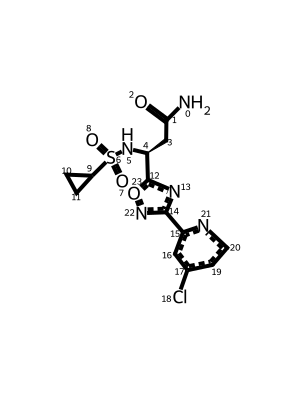 NC(=O)C[C@H](NS(=O)(=O)C1CC1)c1nc(-c2cc(Cl)ccn2)no1